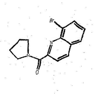 O=C(c1ccc2cccc(Br)c2n1)N1CCCC1